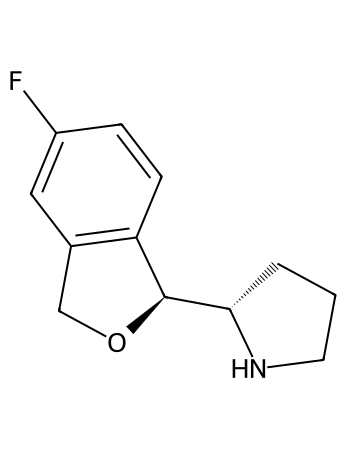 Fc1ccc2c(c1)CO[C@@H]2[C@@H]1CCCN1